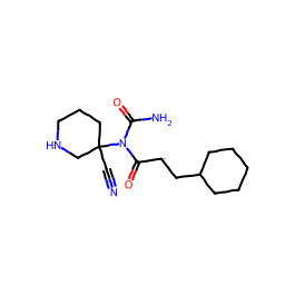 N#CC1(N(C(N)=O)C(=O)[CH]CC2CCCCC2)CCCNC1